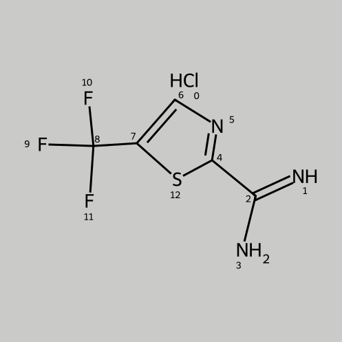 Cl.N=C(N)c1ncc(C(F)(F)F)s1